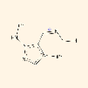 CC(C)Nc1ncn(C(C)C)c1/C=N\CI